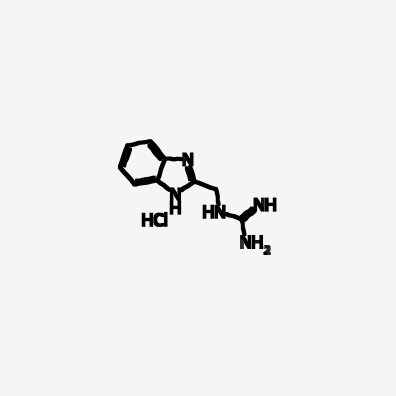 Cl.N=C(N)NCc1nc2ccccc2[nH]1